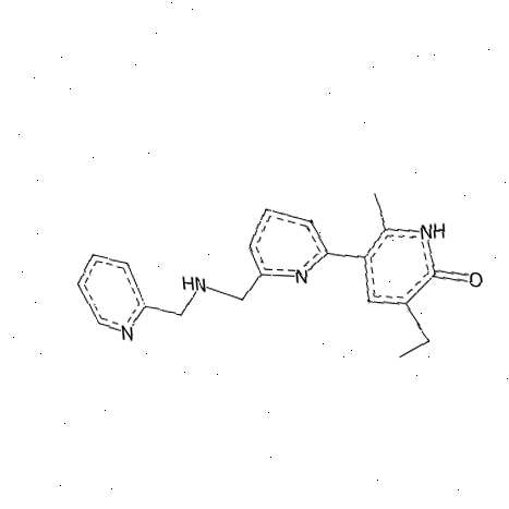 CCc1cc(-c2cccc(CNCc3ccccn3)n2)c(C)[nH]c1=O